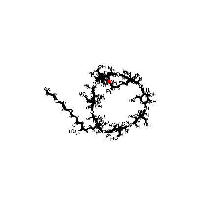 CCC(CSCC1O[C@H]2O[C@@H]3C(CO)O[C@H](O[C@@H]4C(CO)O[C@H](O[C@@H]5C(CO)O[C@@H](O[C@@H]6C(CSCC(CC(=O)CCOCCOCCC(C)=O)C(=O)O)O[C@H](O[C@@H]7C(CO)O[C@@H](O[C@@H]8C(CO)O[C@@H](O[C@H]1[C@H](O)C2O)C(O)[C@H]8O)C(O)[C@H]7O)C(O)[C@H]6O)C(O)[C@H]5O)C(O)[C@H]4O)C(O)[C@H]3O)C(=O)O